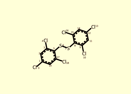 Clc1cc(Cl)c(SSc2c(Cl)cc(Cl)cc2Cl)c(Cl)c1